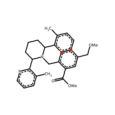 COCc1ccc(CN2C(c3ncccc3C)CCCC2c2ncccc2C)c(C(=O)OC)c1